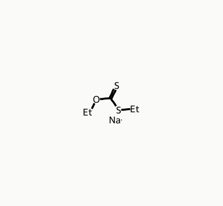 CCOC(=S)SCC.[Na]